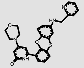 O=c1cc(N2CCOCC2)cc(-c2cccc3c2Oc2ccc(NCc4ccccn4)cc2S3)[nH]1